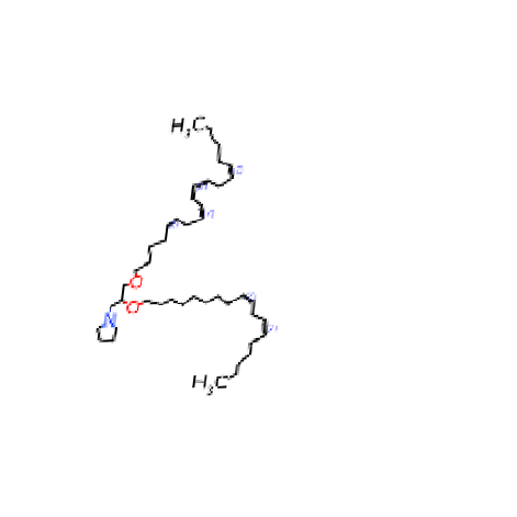 CCCCC/C=C\C/C=C\C/C=C\C/C=C\CCCCOCC(CN1CCCC1)OCCCCCCCC/C=C\C/C=C\CCCCC